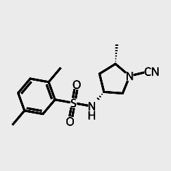 Cc1ccc(C)c(S(=O)(=O)N[C@@H]2C[C@H](C)N(C#N)C2)c1